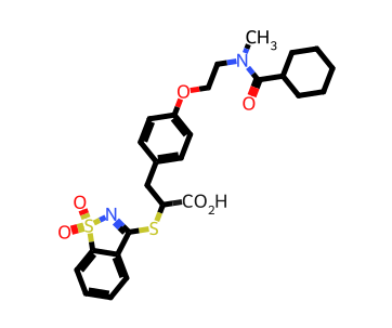 CN(CCOc1ccc(CC(SC2=NS(=O)(=O)c3ccccc32)C(=O)O)cc1)C(=O)C1CCCCC1